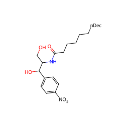 CCCCCCCCCCCCCCCC(=O)NC(CO)C(O)c1ccc([N+](=O)[O-])cc1